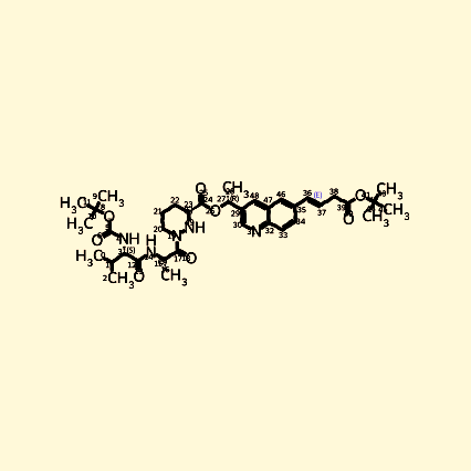 CC(C)[C@H](NC(=O)OC(C)(C)C)C(=O)N[C@@H](C)C(=O)N1CCC[C@@H](C(=O)O[C@H](C)c2cnc3ccc(/C=C/CC(=O)OC(C)(C)C)cc3c2)N1